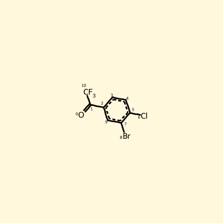 O=C(c1ccc(Cl)c(Br)c1)C(F)(F)F